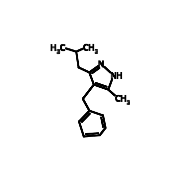 Cc1[nH]nc(CC(C)C)c1Cc1ccccc1